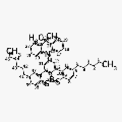 CCCCCCc1ccc2c(c1)-c1cc(N3c4ccccc4C(C)(C)c4ccccc43)cc3c1B(S2)Sc1ccc(CCCCCC)cc1-3